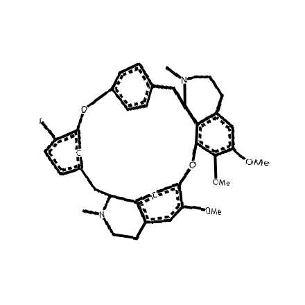 COc1cc2c3cc1Oc1c(OC)c(OC)cc4c1C(Cc1ccc(cc1)Oc1cc(ccc1I)CC3N(C)CC2)N(C)CC4